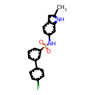 Cc1cc2ccc(NS(=O)(=O)c3cccc(-c4ccc(F)cc4)c3)cc2[nH]1